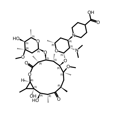 CO[C@]1(C)C[C@H](O[C@H]2[C@H](C)[C@@H](O[C@@H]3O[C@H](C)C[C@@H](N4CCC(C(=O)O)CC4)[C@@H]3N(C)C)[C@@](C)(OC)C[C@@H](C)C(=O)[C@H](C)[C@@H](O)[C@@]3(O)C(C)[C@H]3OC(=O)[C@@H]2C)O[C@@H](C)[C@@H]1O